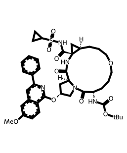 COc1ccc2c(O[C@@H]3C[C@H]4C(=O)N[C@]5(C(=O)NS(=O)(=O)C6CC6)C[C@H]5CCCOCCC[C@H](NC(=O)OC(C)(C)C)C(=O)N4C3)nc(-c3ccccc3)cc2c1